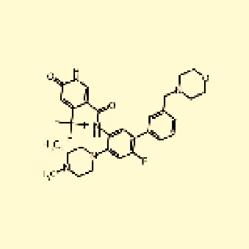 C[C@@H]1CN(c2cc(F)c(-c3cccc(CN4CCOCC4)c3)cc2NC(=O)c2c[nH]c(=O)cc2C(F)(F)F)CCN1C